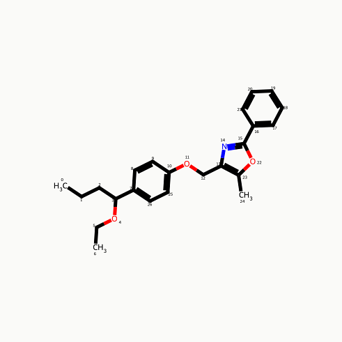 CCCC(OCC)c1ccc(OCc2nc(-c3ccccc3)oc2C)cc1